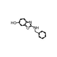 Oc1ccc2nc(NCc3ccccc3)oc2c1